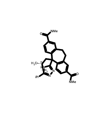 CNC(=O)c1ccc2c(c1)CCc1cc(C(=O)NC)ccc1C2(C[C@@H](C)N)c1nnc(C(C)C)[nH]1